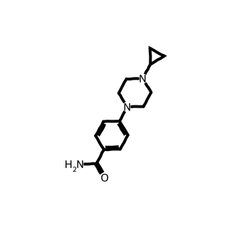 NC(=O)c1ccc(N2CCN(C3CC3)CC2)cc1